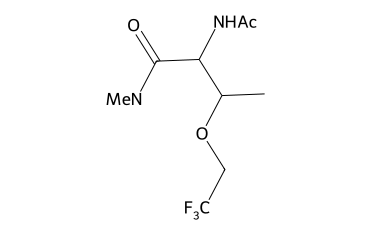 CNC(=O)C(NC(C)=O)C(C)OCC(F)(F)F